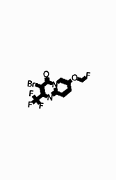 O=c1c(Br)c(C(F)(F)F)nc2ccc(OCF)cn12